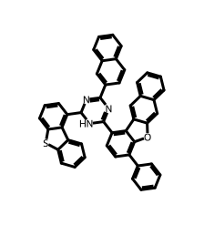 c1ccc(-c2ccc(C3=NC(c4ccc5ccccc5c4)=NC(c4cccc5sc6ccccc6c45)N3)c3c2oc2cc4ccccc4cc23)cc1